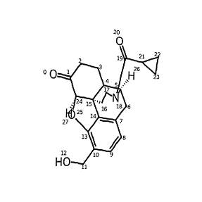 O=C1CCC2[C@H]3Cc4ccc(CO)c5c4[C@@]2(CCN3C(=O)C2CC2)[C@H]1O5